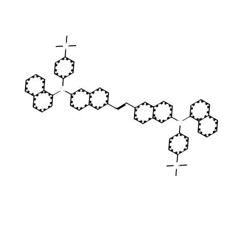 C[Si](C)(C)c1ccc(N(c2ccc3cc(/C=C/c4ccc5cc(N(c6ccc([Si](C)(C)C)cc6)c6cccc7ccccc67)ccc5c4)ccc3c2)c2cccc3ccccc23)cc1